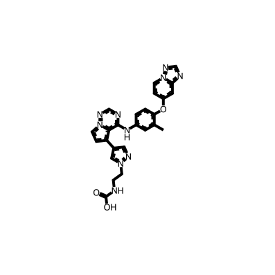 Cc1cc(Nc2ncnn3ccc(-c4cnn(CCNC(=O)O)c4)c23)ccc1Oc1ccn2ncnc2c1